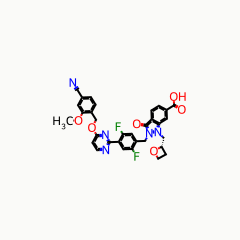 COc1cc(C#N)ccc1COc1ccnc(-c2cc(F)c(Cn3c(=O)c4ccc(C(=O)O)cc4n3C[C@@H]3CCO3)cc2F)n1